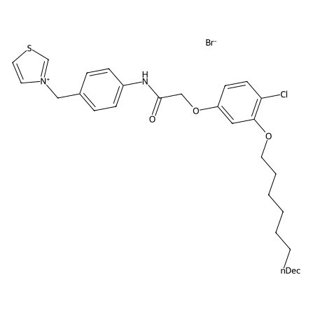 CCCCCCCCCCCCCCCCOc1cc(OCC(=O)Nc2ccc(C[n+]3ccsc3)cc2)ccc1Cl.[Br-]